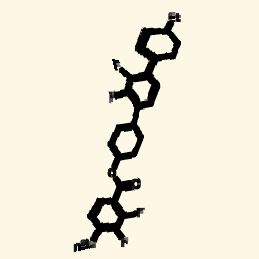 CCCCc1ccc(C(=O)OC2CCC(c3ccc(C4CCC(CC)CC4)c(F)c3F)CC2)c(F)c1F